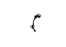 CC(C)CCC(C)(C)C(=O)OCCCCCCCCCOc1ccnc2oc(=O)c(-c3cccc(F)c3)cc12